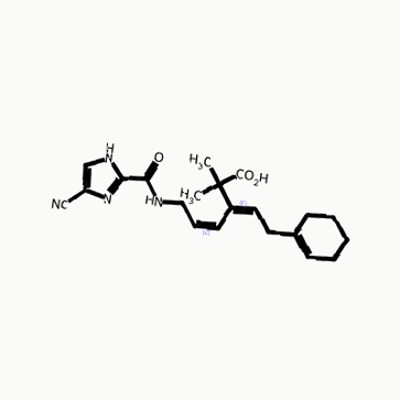 CC(C)(C(=O)O)C(/C=C\CNC(=O)c1nc(C#N)c[nH]1)=C/CC1=CCCCC1